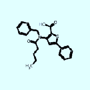 CCCCC(=O)N(Cc1ccccc1)c1cc(-c2ccccc2)sc1C(=O)O